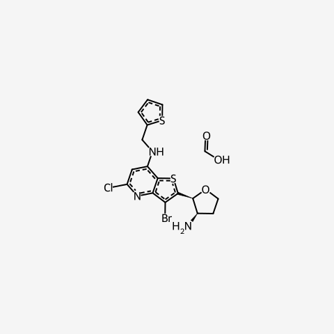 N[C@@H]1CCO[C@@H]1c1sc2c(NCc3cccs3)cc(Cl)nc2c1Br.O=CO